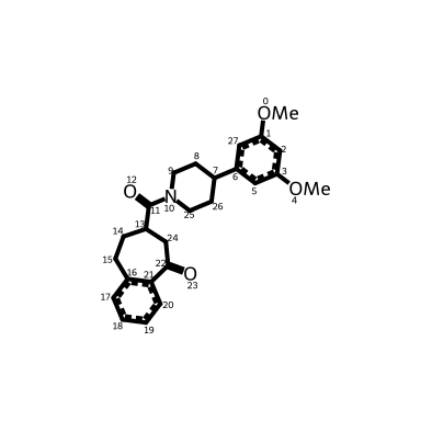 COc1cc(OC)cc(C2CCN(C(=O)C3CCc4ccccc4C(=O)C3)CC2)c1